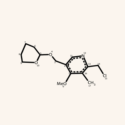 COc1c(COC2CCCCO2)cnc(CCl)c1C